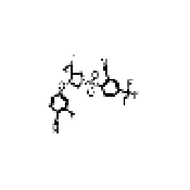 C[C@H]1C[C@@]12CN(S(=O)(=O)c1ccc(C(F)(F)F)cc1C#N)C[C@@H]2Oc1ccc(C#N)c(F)c1